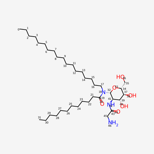 CCCCCCCCCCCCCCCCCCN(C(=O)CCCCCCCCCCC)[C@@H]1O[C@H](CO)[C@@H](O)[C@H](O)[C@H]1NC(=O)CN